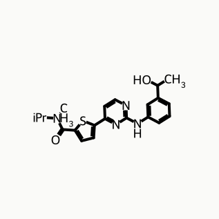 CC(O)c1cccc(Nc2nccc(-c3ccc(C(=O)N(C)C(C)C)s3)n2)c1